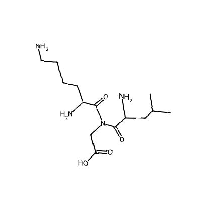 CC(C)CC(N)C(=O)N(CC(=O)O)C(=O)C(N)CCCCN